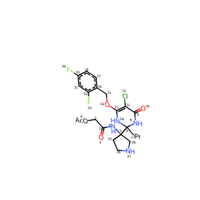 CC(=O)OCC(=O)N[C@]1(C2(C(C)C)NC(=O)C(Cl)=C(OCc3ccc(F)cc3F)N2)CCNC1